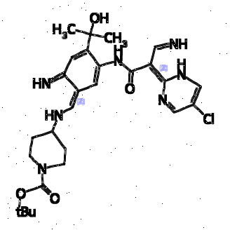 CC(C)(C)OC(=O)N1CCC(N/C=C2/C=C(NC(=O)/C(C=N)=C3\N=CC(Cl)=CN3)C(C(C)(C)O)=CC2=N)CC1